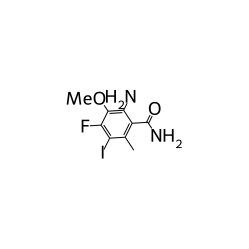 COc1c(N)c(C(N)=O)c(C)c(I)c1F